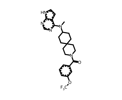 CN(c1ncnc2[nH]ccc12)C1CCC2(CC1)CCN(C(=O)c1cccc(OC(F)(F)F)c1)CC2